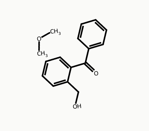 COC.O=C(c1ccccc1)c1ccccc1CO